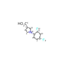 O=C(O)c1ccn(-c2ccc(F)cc2F)c1